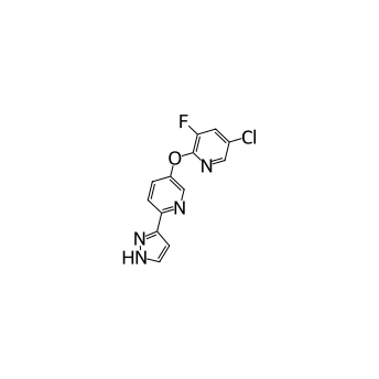 Fc1cc(Cl)cnc1Oc1ccc(-c2cc[nH]n2)nc1